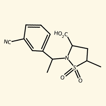 CC(c1cccc(C#N)c1)N1C(C(=O)O)CC(C)S1(=O)=O